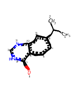 CC(C)c1ccc2c(=O)[nH]cnc2c1